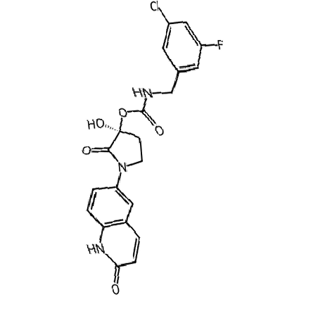 O=C(NCc1cc(F)cc(Cl)c1)O[C@@]1(O)CCN(c2ccc3[nH]c(=O)ccc3c2)C1=O